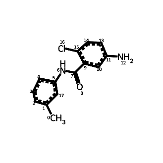 Cc1cccc(NC(=O)c2cc(N)ccc2Cl)c1